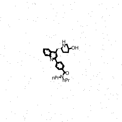 CCCN(CCC)C(=O)c1ccc(-c2cc(C[C@H]3CCC(O)CN3)c3ccccc3n2)cc1